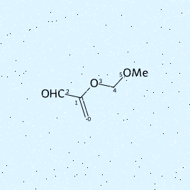 [CH]=C(C=O)OCOC